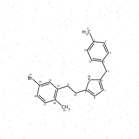 Cc1ccc(Cc2ccc(CCc3cc(Br)ccc3C)s2)cc1